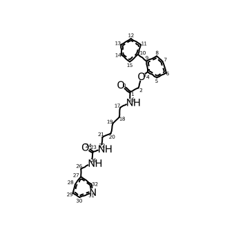 O=C(COc1ccccc1-c1ccccc1)NCCCCCNC(=O)NCc1cccnc1